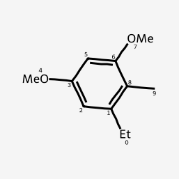 CCc1cc(OC)cc(OC)c1C